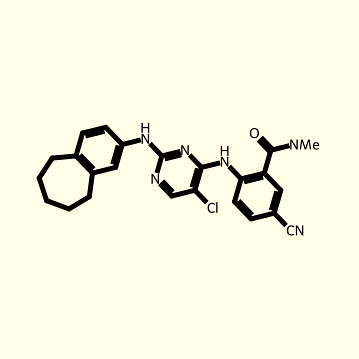 CNC(=O)c1cc(C#N)ccc1Nc1nc(Nc2ccc3c(c2)CCCCC3)ncc1Cl